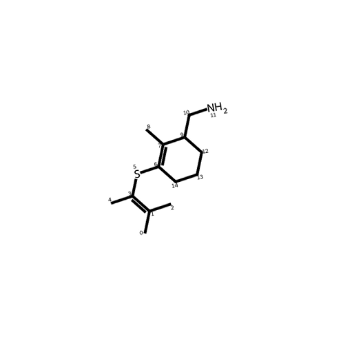 CC(C)=C(C)SC1=C(C)C(CN)CCC1